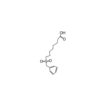 O=C(O)CCCCCCCS(=O)(=O)Cc1ccccc1